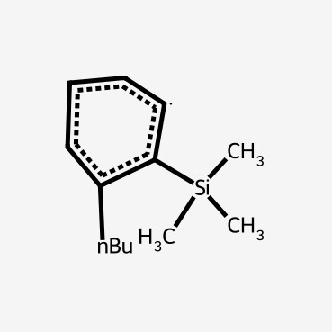 CCCCc1ccc[c]c1[Si](C)(C)C